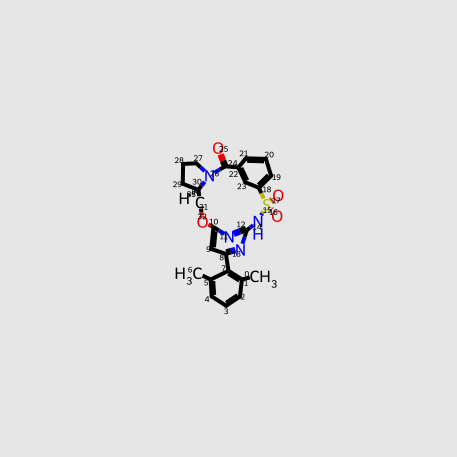 Cc1cccc(C)c1-c1cc2nc(n1)NS(=O)(=O)c1cccc(c1)C(=O)N1CCC[C@@H]1CO2